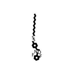 CCCCCCCCCCCCSSCc1ccc(C2COC(c3c(F)cccc3F)=N2)cc1